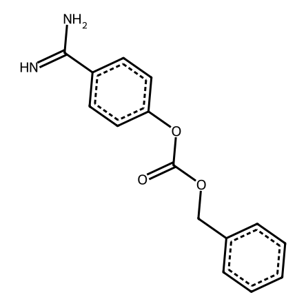 N=C(N)c1ccc(OC(=O)OCc2ccccc2)cc1